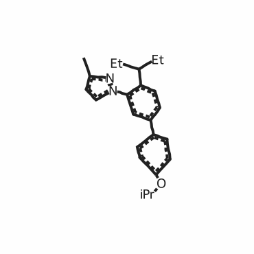 CCC(CC)c1ccc(-c2ccc(OC(C)C)cc2)cc1-n1ccc(C)n1